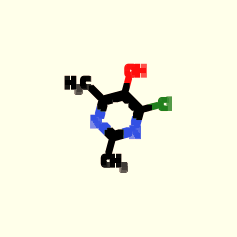 Cc1nc(C)c(O)c(Cl)n1